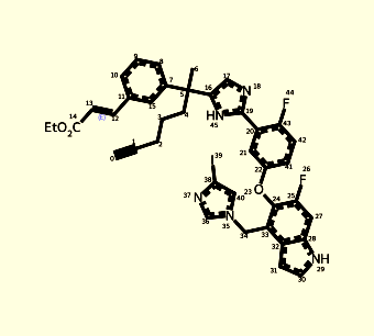 C#CCCCC(C)(c1cccc(/C=C/C(=O)OCC)c1)c1cnc(-c2cc(Oc3c(F)cc4[nH]ccc4c3Cn3cnc(I)c3)ccc2F)[nH]1